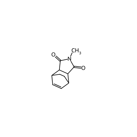 CN1C(=O)C2C3C=CC(CC3)C2C1=O